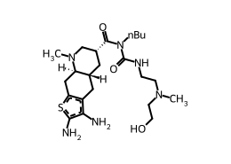 CCCCN(C(=O)NCCN(C)CCO)C(=O)[C@@H]1C[C@@H]2Cc3c(sc(N)c3N)C[C@H]2N(C)C1